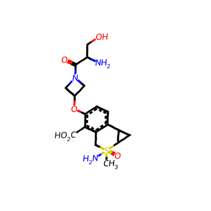 CS1(N)(=O)Cc2c(ccc(OC3CN(C(=O)C(N)CO)C3)c2C(=O)O)C2CC21